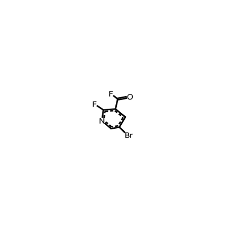 O=C(F)c1cc(Br)cnc1F